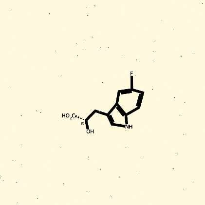 O=C(O)[C@@H](O)Cc1c[nH]c2ccc(F)cc12